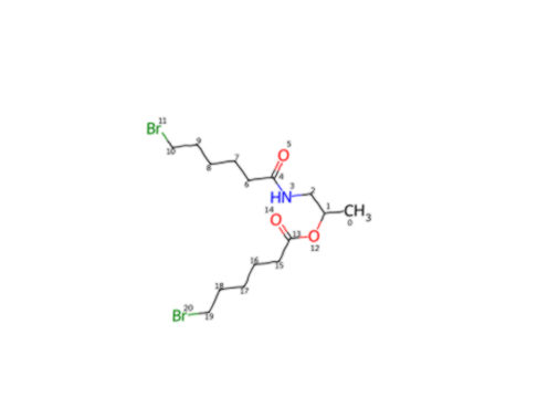 CC(CNC(=O)CCCCCBr)OC(=O)CCCCCBr